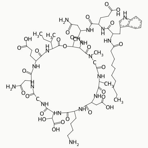 CCCCCCCCCC(=O)NC(Cc1c[nH]c2ccccc12)C(=O)NC(CCC(=O)O)C(=O)NC(CC(N)=O)C(=O)NC1C(=O)N(C)CC(=O)NC(C)C(=O)NC(CC(=O)O)C(=O)NC(CCCCN)C(=O)NC(C(O)C(=O)O)C(=O)NCC(=O)NC(CC(N)=O)C(=O)NC(CCC(=O)O)C(=O)NC(C(C)CC)C(=O)OC1C